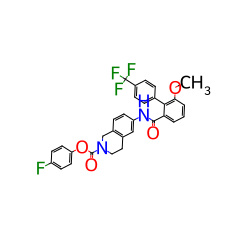 COc1cccc(C(=O)Nc2ccc3c(c2)CCN(C(=O)Oc2ccc(F)cc2)C3)c1-c1ccc(C(F)(F)F)cc1